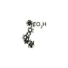 O=C(O)C[C@@H](c1ccc(OCc2ccc3cnn(Cc4cnccn4)c3n2)cc1)c1ccon1